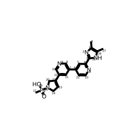 Cc1nc(-c2cc(-c3cncc(C4=CCN(P(C)(=O)O)C4)c3)ccn2)[nH]c1C